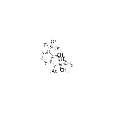 CC(=O)C(c1cccc(S(=O)(=O)F)c1C)[Si](C)(C)C